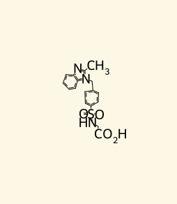 Cc1nc2ccccc2n1Cc1ccc(S(=O)(=O)NCC(=O)O)cc1